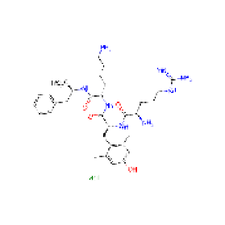 Cc1cc(O)cc(C)c1C[C@H](NC(=O)[C@H](N)CCCNC(=N)N)C(=O)N[C@@H](CCCCN)C(=O)N[C@@H](Cc1ccccc1)C(=O)O.Cl